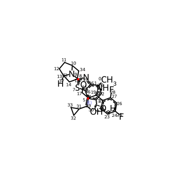 Cc1cc(C(=O)O)cc2sc(N3C4CC[C@H]3CC(OC/C(C(=N)c3ccc(F)cc3F)=C(/O)C3CC3)C4)nc12